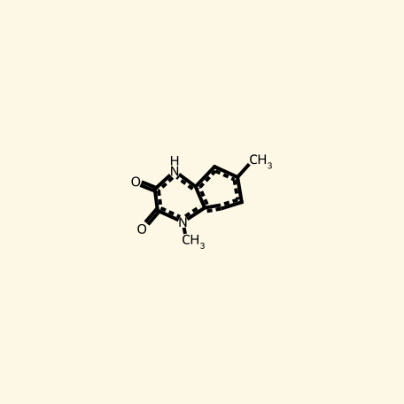 Cc1ccc2c(c1)[nH]c(=O)c(=O)n2C